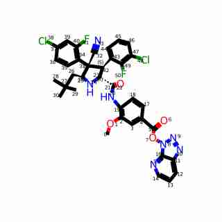 COc1cc(C(=O)On2nnc3cccnc32)ccc1NC(=O)[C@@H]1N[C@@H](CC(C)(C)C)[C@](C#N)(c2ccc(Cl)cc2F)[C@H]1c1cccc(Cl)c1F